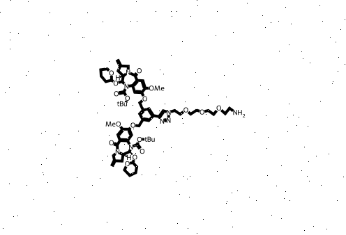 C=C1C[C@H]2C(OC3CCCCO3)N(C(=O)OC(C)(C)C)c3cc(OCc4cc(COc5cc6c(cc5OC)C(=O)N5CC(=C)C[C@H]5[C@H](OC5CCCCO5)N6C(=O)OC(C)(C)C)cc(-c5cn(CCOCCOCCOCCN)nn5)c4)c(OC)cc3C(=O)N2C1